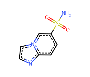 NS(=O)(=O)c1ccc2nccn2c1